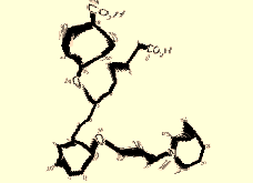 O=C(O)CCCCC(CCc1ccccc1OCCCN1CCCCC1)Oc1ccc(C(=O)O)cc1